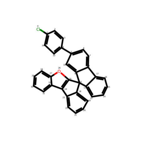 Clc1ccc(-c2ccc3c(c2)C2(c4ccccc4-3)c3ccccc3-c3c2oc2ccccc32)cc1